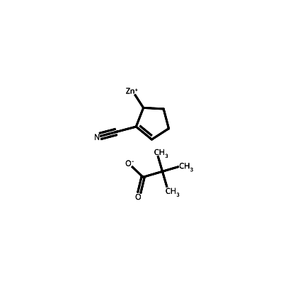 CC(C)(C)C(=O)[O-].N#CC1=CCC[CH]1[Zn+]